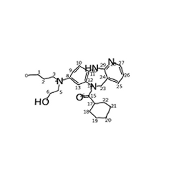 CCCCN(CCO)c1ccc2c(c1)N(C(=O)C1CCCCC1)Cc1cccnc1N2